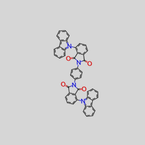 O=C1c2cccc(-n3c4ccccc4c4ccccc43)c2C(=O)N1c1ccc(N2C(=O)c3cccc(-n4c5ccccc5c5ccccc54)c3C2=O)cc1